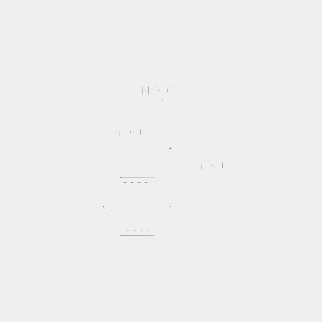 CCCCCCCCC(CCCCCCCC)(CC(=O)O)c1ccccc1